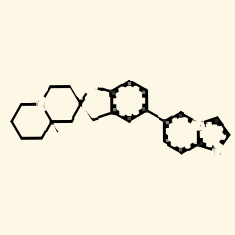 c1cn2cc(-c3ccc4c(c3)C[C@@]3(CCN5CCCC[C@H]5C3)O4)ccc2n1